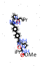 COC(=O)NC(C(=O)N1CCC[C@H]1c1ncc(-c2ccc(-c3ccc(-c4cnc([C@@H]5CCCN5C(=O)CC(C)C)[nH]4)cc3)cc2)[nH]1)C(C)C